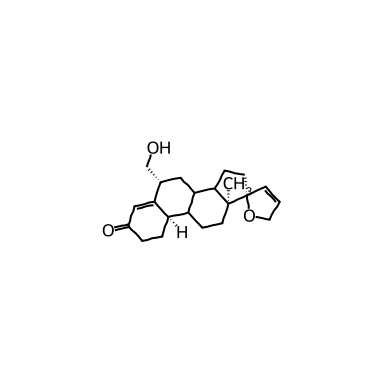 C[C@]12CCC3C(C[C@@H](CO)C4=CC(=O)CC[C@@H]43)C1CC[C@@]21C=CCO1